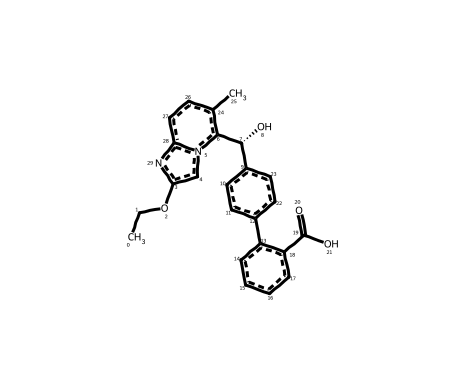 CCOc1cn2c([C@H](O)c3ccc(-c4ccccc4C(=O)O)cc3)c(C)ccc2n1